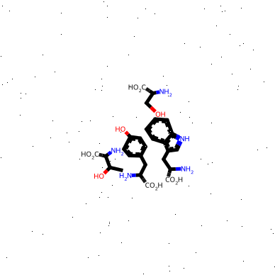 CC(O)C(N)C(=O)O.NC(CO)C(=O)O.NC(Cc1c[nH]c2ccccc12)C(=O)O.NC(Cc1ccc(O)cc1)C(=O)O